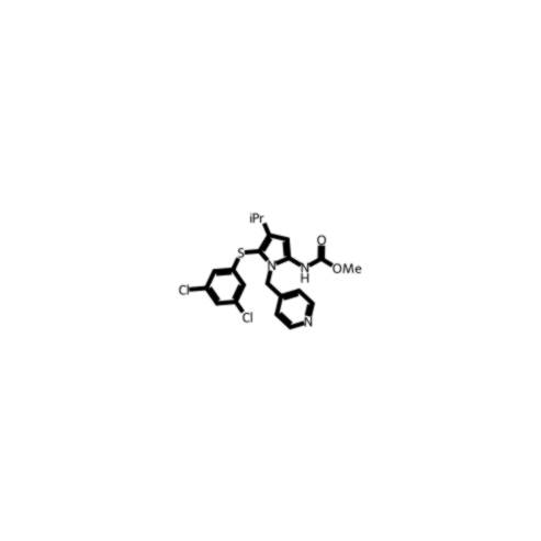 COC(=O)Nc1cc(C(C)C)c(Sc2cc(Cl)cc(Cl)c2)n1Cc1ccncc1